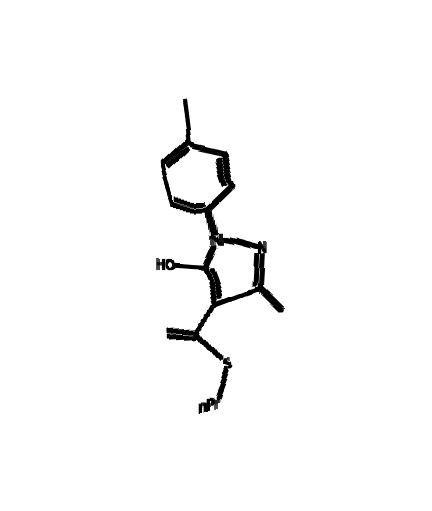 C=C(SCCC)c1c(C)nn(-c2ccc(C)cc2)c1O